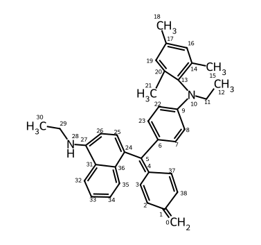 C=c1ccc(=C(c2ccc(N(CC)c3c(C)cc(C)cc3C)cc2)c2ccc(NCC)c3ccccc23)cc1